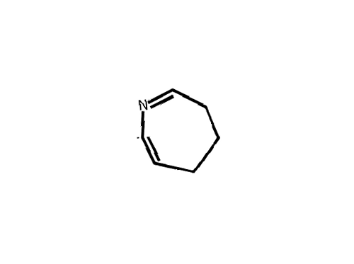 [C]1=CCCCC=N1